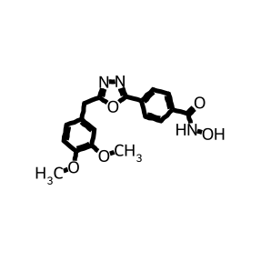 COc1ccc(Cc2nnc(-c3ccc(C(=O)NO)cc3)o2)cc1OC